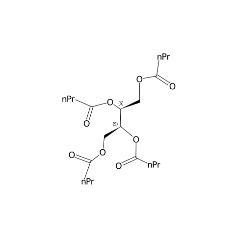 CCCC(=O)OC[C@H](OC(=O)CCC)[C@H](COC(=O)CCC)OC(=O)CCC